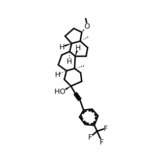 CO[C@H]1CC[C@H]2[C@@H]3CC[C@@H]4C[C@@](O)(C#Cc5ccc(C(F)(F)F)cc5)CC[C@]4(C)[C@H]3CC[C@]12C